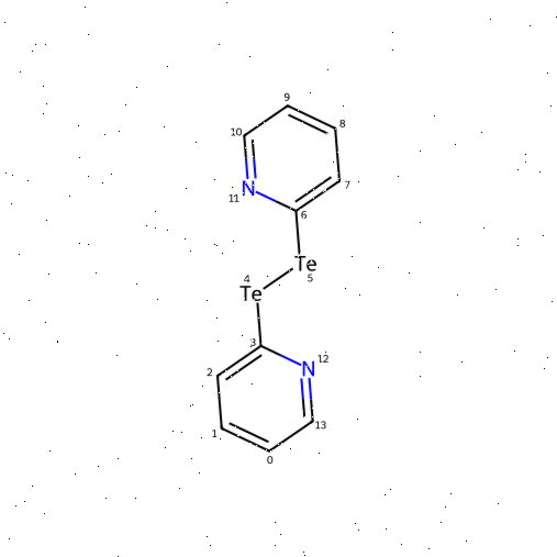 c1ccc([Te][Te]c2ccccn2)nc1